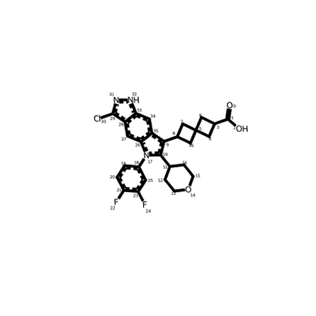 O=C(O)C1CC2(C1)CC(c1c(C3CCOCC3)n(-c3ccc(F)c(F)c3)c3cc4c(Cl)n[nH]c4cc13)C2